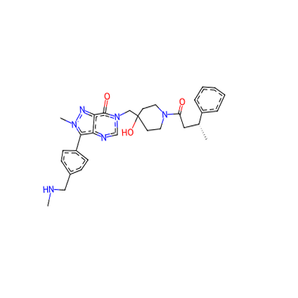 CNCc1ccc(-c2c3ncn(CC4(O)CCN(C(=O)C[C@@H](C)c5ccccc5)CC4)c(=O)c3nn2C)cc1